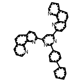 c1ccc(-c2ccc(-c3nc(-c4ccc5ccc6cccnc6c5n4)cc(-c4ccc5ccc6cccnc6c5n4)n3)cc2)cc1